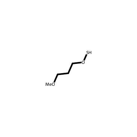 COCCCOS